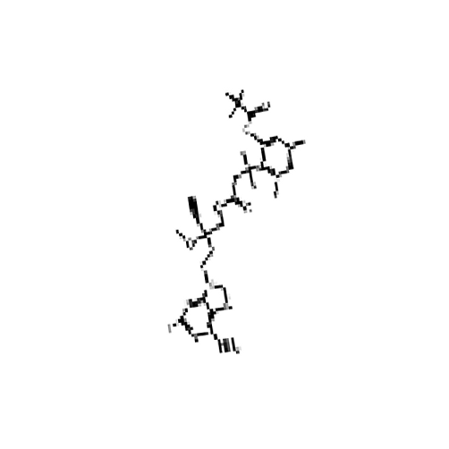 C#CC(CCn1cnc2c(N)nc(F)nc21)(COC(=O)CC(C)(C)c1c(C)cc(C)cc1OC(=O)C(C)(C)C)OC